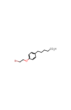 O=C(O)CCCCc1ccc(OCCBr)cc1